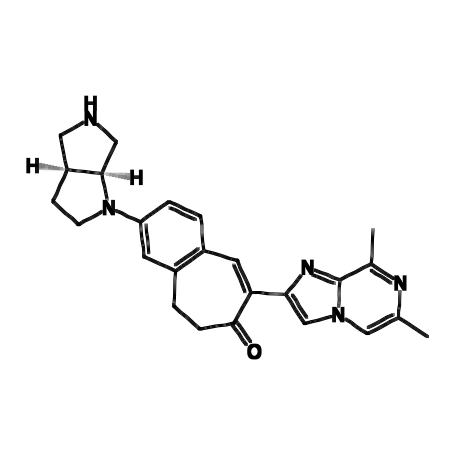 Cc1cn2cc(C3=Cc4ccc(N5CC[C@H]6CNC[C@H]65)cc4CCC3=O)nc2c(C)n1